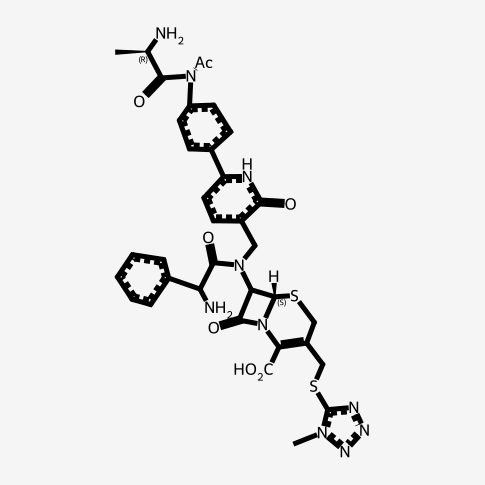 CC(=O)N(C(=O)[C@@H](C)N)c1ccc(-c2ccc(CN(C(=O)C(N)c3ccccc3)C3C(=O)N4C(C(=O)O)=C(CSc5nnnn5C)CS[C@@H]34)c(=O)[nH]2)cc1